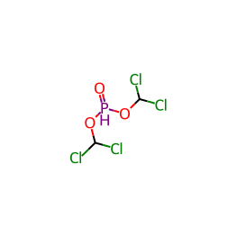 O=[PH](OC(Cl)Cl)OC(Cl)Cl